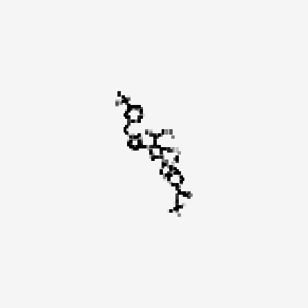 CC(C)(C)OC(=O)N1CC2[C@@H]3[C@H](n4nc(-c5ccn(Cc6cccc(C(F)(F)F)c6)n5)c(C(N)=O)c4N)C[C@]23C1